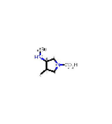 CC1CN(C(=O)O)CC1NC(C)(C)C